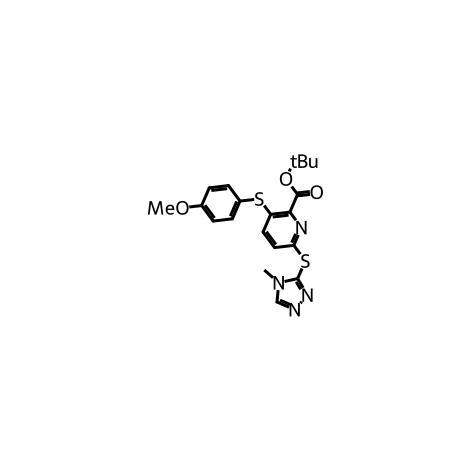 COc1ccc(Sc2ccc(Sc3nncn3C)nc2C(=O)OC(C)(C)C)cc1